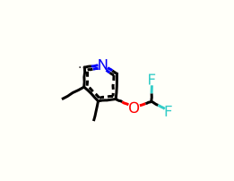 Cc1[c]ncc(OC(F)F)c1C